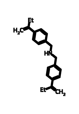 C=C(CC)c1ccc(CNCc2ccc(C(=C)CC)cc2)cc1